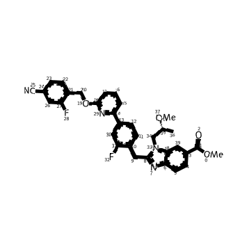 COC(=O)c1ccc2nc(Cc3ccc(-c4cccc(OCc5ccc(C#N)cc5F)n4)cc3F)n(C[C@@H](C)OC)c2c1